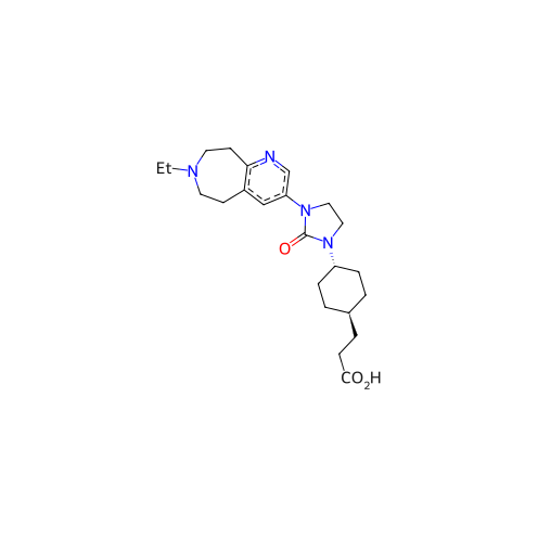 CCN1CCc2cc(N3CCN([C@H]4CC[C@H](CCC(=O)O)CC4)C3=O)cnc2CC1